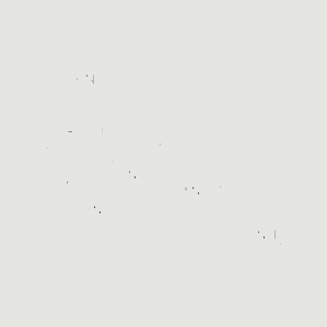 N#CCC1=CC(N2CCN(CC(N)=O)CC2)C(N)C=C1